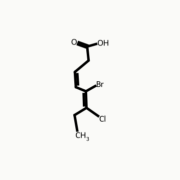 CC/C(Cl)=C(Br)\C=C/CC(=O)O